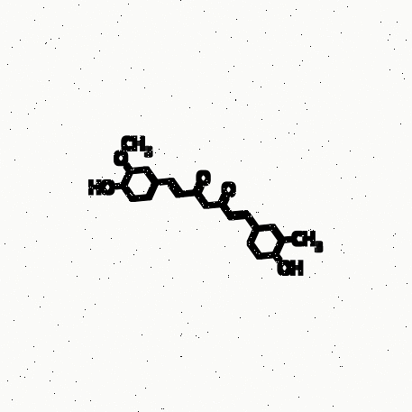 COC1CC(/C=C/C(=O)CC(=O)/C=C/C2CCC(O)C(C)C2)CCC1O